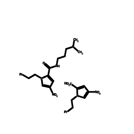 CC(C)CCn1cc([N+](=O)[O-])cc1C(=O)NCCCN(C)C.CC(C)CCn1cc([N+](=O)[O-])cc1C(=O)O